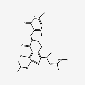 C/C(=C/N(I)c1cc(OC(C)C)c(Cl)c2c1CCN(Cc1c(C)cc(C)[nH]c1=O)C2=O)NI